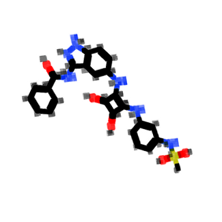 CS(=O)(=O)Nc1cccc(Nc2c(Nc3ccc4[nH]nc(NC(=O)c5ccccc5)c4c3)c(=O)c2=O)c1